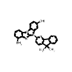 Bc1cccc2c1nc1n(-c3ccc4c(n3)-c3ccccc3C4(C)C)c3cc(O)ccc3n21